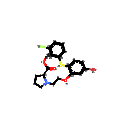 CC(C)(C)OC(=O)[C@@H]1CCCN1CCOc1cc(Br)ccc1Sc1cccc(F)c1